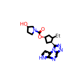 CCC1C[C@H](OC(=O)N2CC[C@@H](O)C2)C[C@@H]1c1nnc2cnc3[nH]ccc3n12